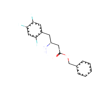 NC(CC(=O)OCc1ccccc1)Cc1cc(F)c(F)cc1F